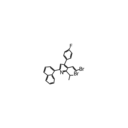 CC(C)c1nc(-c2cccc3ccccc23)cc(-c2ccc(F)cc2)c1C=C(Br)Br